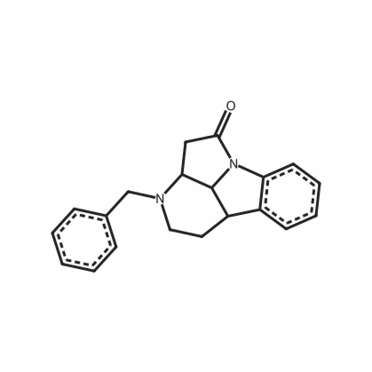 O=C1CC2C3C(CCN2Cc2ccccc2)c2ccccc2N13